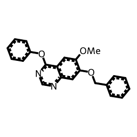 COc1cc2c(Oc3ccccc3)ncnc2cc1OCc1ccccc1